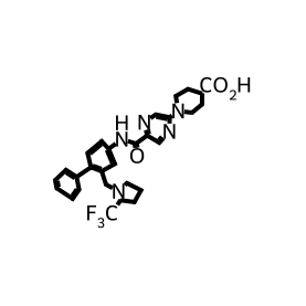 O=C(Nc1ccc(-c2ccccc2)c(CN2CCCC2C(F)(F)F)c1)c1cnc(N2CCC(C(=O)O)CC2)cn1